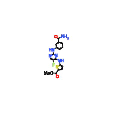 COC(=O)c1ccc(Nc2nc(Nc3cccc(C(N)=O)c3)ncc2F)s1